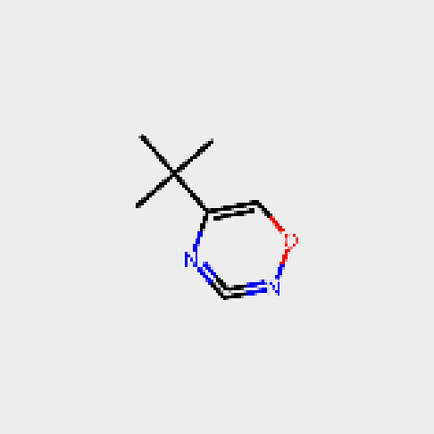 CC(C)(C)C1=CON=C=N1